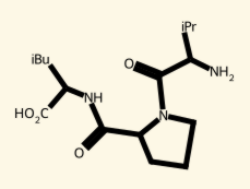 CCC(C)C(NC(=O)C1CCCN1C(=O)C(N)C(C)C)C(=O)O